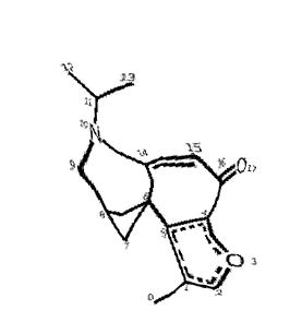 Cc1coc2c1C13CC1CN(C(C)C)C3=CC2=O